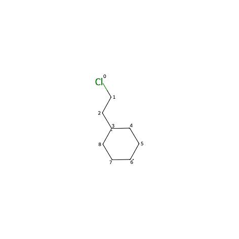 ClCC[C]1CC[CH]CC1